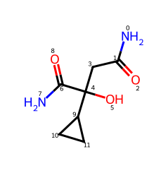 NC(=O)CC(O)(C(N)=O)C1CC1